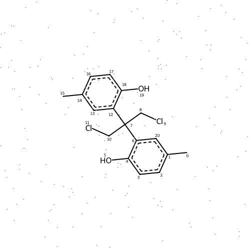 Cc1ccc(O)c(C(CCl)(CCl)c2cc(C)ccc2O)c1